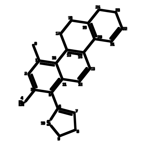 Cc1cc(Br)c(C2=CCCS2)c2ccc3c(c12)CCC1=C3C=CCC1